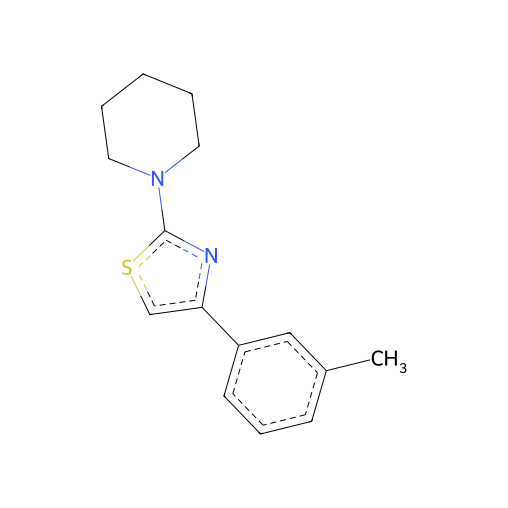 Cc1cccc(-c2csc(N3CCCCC3)n2)c1